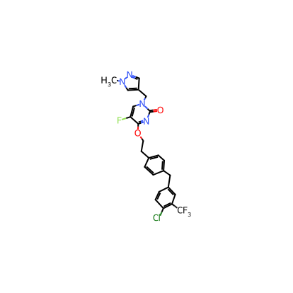 Cn1cc(Cn2cc(F)c(OCCc3ccc(Cc4ccc(Cl)c(C(F)(F)F)c4)cc3)nc2=O)cn1